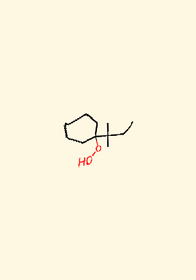 CCC(C)(C)C1(OO)CCCCC1